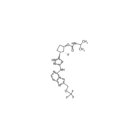 CC(C)NC(=O)O[C@@H]1CC[C@H](c2cc(Nc3nccc4nc(COC(F)(F)F)cn34)n[nH]2)[C@H]1F